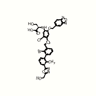 Cc1c(-c2nnc(CO)o2)cccc1-c1cccc(COc2cc(OCc3ccc4nonc4c3)c(N[C@H](CO)C(=O)O)cc2Cl)c1Br